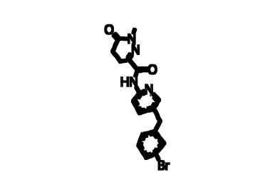 CN1N=C(C(=O)Nc2ccc(Cc3cccc(Br)c3)cn2)CCC1=O